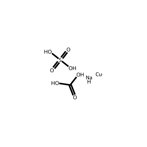 O=C(O)O.O=S(=O)(O)O.[Cu].[NaH]